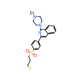 CCN1CCN(c2nc(-c3ccc(S(=O)(=O)CCCF)cc3)cc3ccccc23)CC1